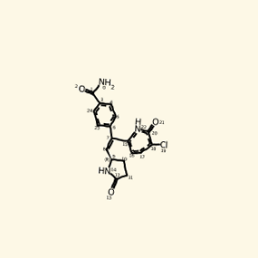 NC(=O)c1ccc(C(=C[C@H]2CCC(=O)N2)c2ccc(Cl)c(=O)[nH]2)cc1